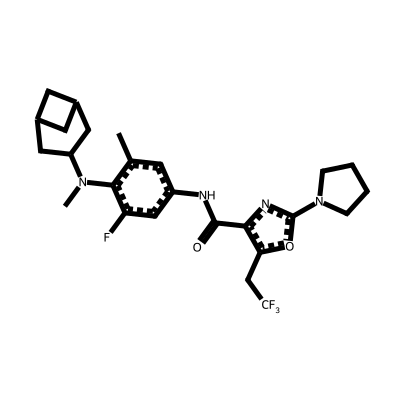 Cc1cc(NC(=O)c2nc(N3CCCC3)oc2CC(F)(F)F)cc(F)c1N(C)C1CC2CC(C2)C1